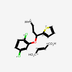 CNCCC(Oc1cc(Cl)ccc1Cl)c1cccs1.O=C(O)/C=C/C(=O)O